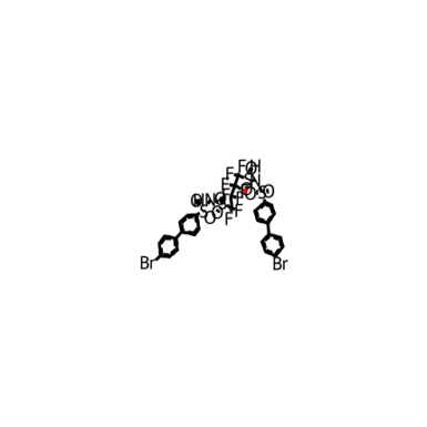 O=S(=O)(NS(=O)(=O)C(F)(F)C(F)(F)C(F)(F)C(F)(F)S(=O)(=O)NS(=O)(=O)c1ccc(-c2ccc(Br)cc2)cc1)c1ccc(-c2ccc(Br)cc2)cc1